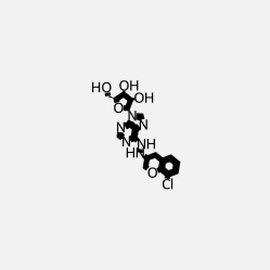 OC[C@H]1O[C@@H](n2cnc3c(NNC4COc5c(Cl)cccc5C4)ncnc32)[C@H](O)[C@@H]1O